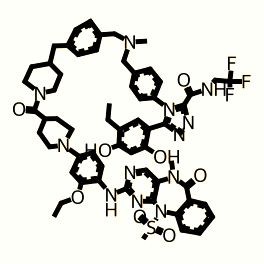 CCOc1cc(N2CCC(C(=O)N3CCC(Cc4ccc(CN(C)Cc5ccc(-n6c(C(=O)NCC(F)(F)F)nnc6-c6cc(CC)c(O)cc6O)cc5)cc4)CC3)CC2)ccc1Nc1ncc2c(n1)N(S(C)(=O)=O)c1ccccc1C(=O)N2C